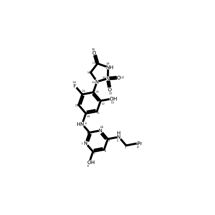 CC(C)CNc1cc(O)nc(Nc2cc(O)c(N3CC(=O)NS3(=O)=O)c(F)c2)n1